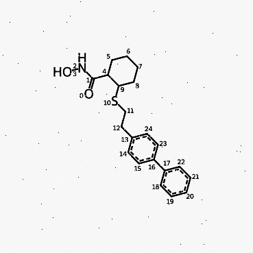 O=C(NO)C1CCCCC1SCCc1ccc(-c2ccccc2)cc1